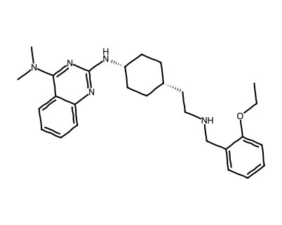 CCOc1ccccc1CNCC[C@H]1CC[C@@H](Nc2nc(N(C)C)c3ccccc3n2)CC1